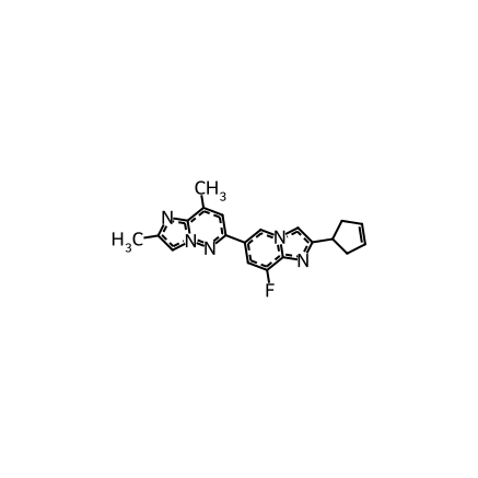 Cc1cn2nc(-c3cc(F)c4nc(C5CC=CC5)cn4c3)cc(C)c2n1